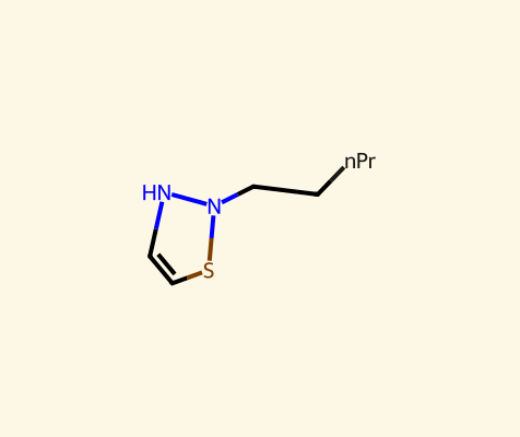 CCCCCN1NC=CS1